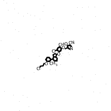 Cc1c(OCCCCl)cccc1-c1cccc2c1CCC2Oc1cc(OCc2cncc(C#N)c2)c(C=O)cc1Cl